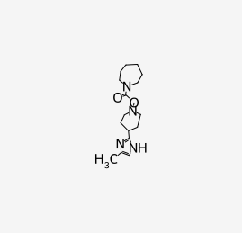 Cc1c[nH]c(C2CCN(OC(=O)N3CCCCCC3)CC2)n1